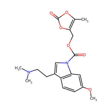 COc1ccc2c(CCN(C)C)cn(C(=O)OCc3oc(=O)oc3C)c2c1